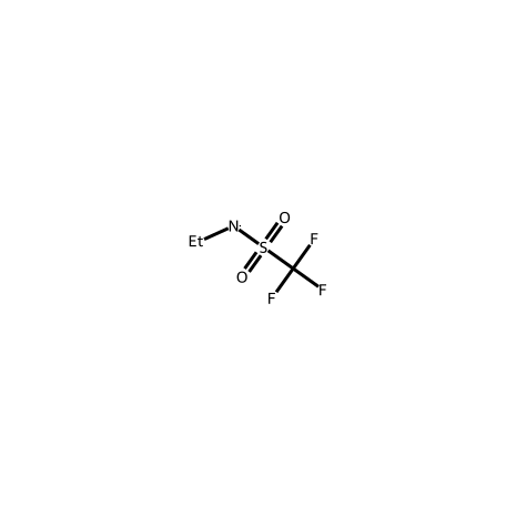 CC[N]S(=O)(=O)C(F)(F)F